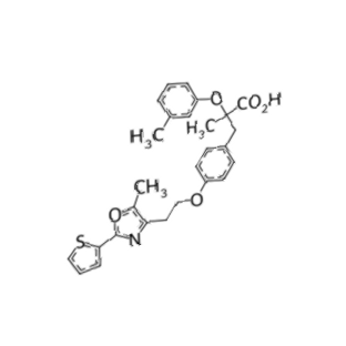 Cc1cccc(OC(C)(Cc2ccc(OCCc3nc(-c4cccs4)oc3C)cc2)C(=O)O)c1